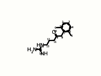 Cc1cccc(C)c1CC(=O)CCCNC(=N)N